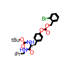 CC(C)CNC(=O)[C@H](Cc1ccc(OC(=O)OCc2ccccc2Br)cc1)NC(=O)OC(C)(C)C